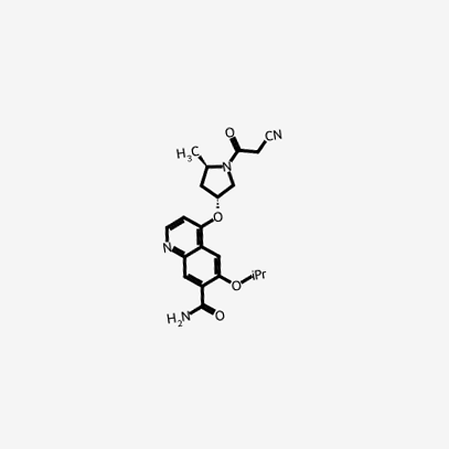 CC(C)Oc1cc2c(O[C@@H]3C[C@@H](C)N(C(=O)CC#N)C3)ccnc2cc1C(N)=O